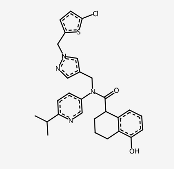 CC(C)c1ccc(N(Cc2cnn(Cc3ccc(Cl)s3)c2)C(=O)C2CCCc3c(O)cccc32)cn1